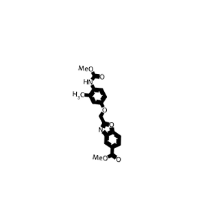 COC(=O)Nc1ccc(OCc2nc3cc(C(=O)OC)ccc3o2)cc1C